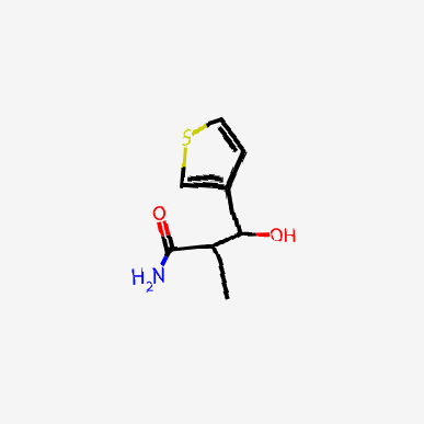 CC(C(N)=O)C(O)c1ccsc1